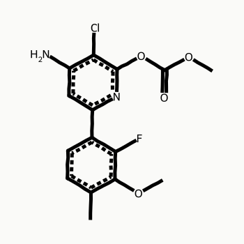 COC(=O)Oc1nc(-c2ccc(C)c(OC)c2F)cc(N)c1Cl